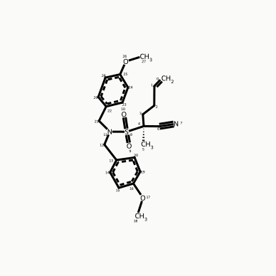 C=CCC[C@@](C)(C#N)S(=O)(=O)N(Cc1ccc(OC)cc1)Cc1ccc(OC)cc1